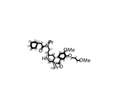 COCCCOc1cc(C(=O)N(C(C)C)C2CCC(CCN(C(=O)Cc3ccccc3)C(C)C)NC2)ccc1OC